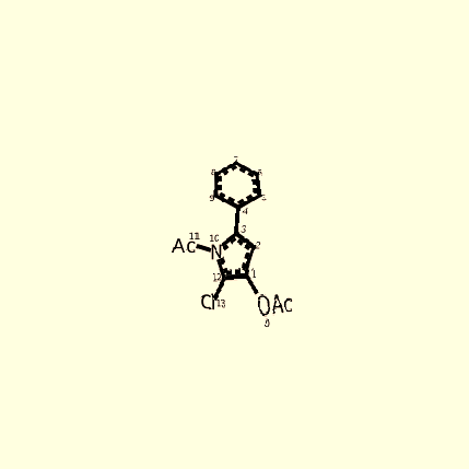 CC(=O)Oc1cc(-c2ccccc2)n(C(C)=O)c1Cl